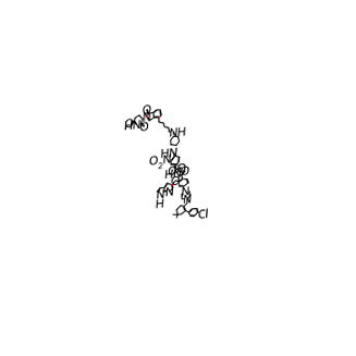 CC1(C)CCC(CN2CCN(c3ccc(C(=O)NS(=O)(=O)c4ccc(NC[C@H]5CC[C@H](NCCCCCc6cccc7c6CN(C6CCC(=O)NC6=O)C7=O)CC5)c([N+](=O)[O-])c4)c(Oc4cnc5[nH]ccc5c4)c3)CC2)=C(c2ccc(Cl)cc2)C1